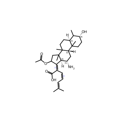 CC(=O)OC1CC2(C)[C@H](/C1=C(\C=C/C=C(C)C)C(=O)O)[C@@H](N)C[C@H]1C3(C)CC[C@@H](O)C(C)[C@@H]3CCC12C